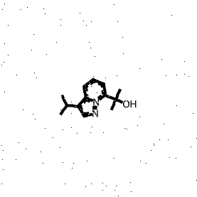 CC(C)c1cnn2c(C(C)(C)O)cccc12